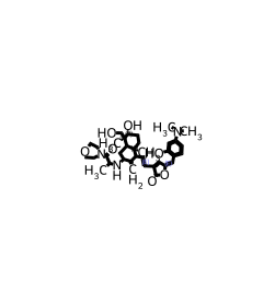 C=C1C(NC(C)C(=O)N2CCOCC2)CC2[C@](C)(CC[C@@H](O)[C@@]2(C)CO)C1/C=C/C1=CC(=C\c2ccc(N(C)C)cc2O)/OC1=O